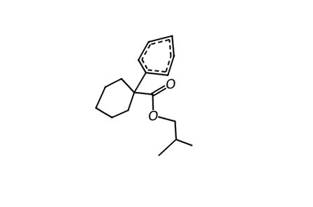 CC(C)COC(=O)C1(c2ccccc2)CCCCC1